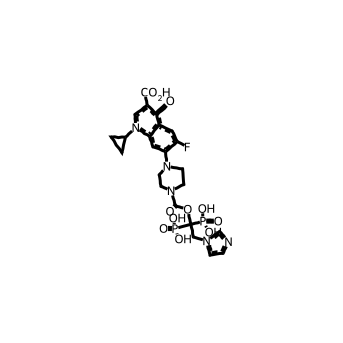 O=C(O)c1cn(C2CC2)c2cc(N3CCN(C(=O)OC(Cn4ccnc4)(P(=O)(O)O)P(=O)(O)O)CC3)c(F)cc2c1=O